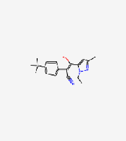 CCn1nc(C)cc1C(O)=C(C#N)c1ccc([Si](C)(C)C)cc1